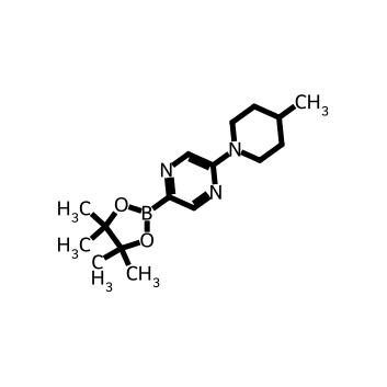 CC1CCN(c2cnc(B3OC(C)(C)C(C)(C)O3)cn2)CC1